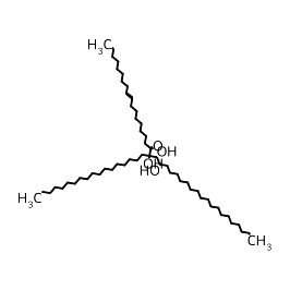 CCCCCCCCC=CCCCCCCCC(=O)C(O)(CCCCCCCCCCCCCCCCCC)C(O)C(O)CCCCCCCCCCCCCCCCCC